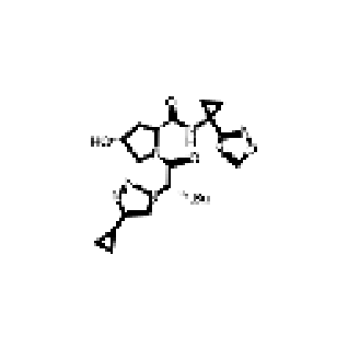 CC(C)(C)[C@@H](C(=O)N1C[C@H](O)C[C@H]1C(=O)NC1(c2ncon2)CC1)n1cc(C2CC2)nn1